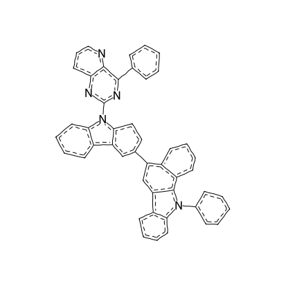 c1ccc(-c2nc(-n3c4ccccc4c4cc(-c5cc6c7ccccc7n(-c7ccccc7)c6c6ccccc56)ccc43)nc3cccnc23)cc1